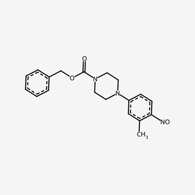 Cc1cc(N2CCN(C(=O)OCc3ccccc3)CC2)ccc1N=O